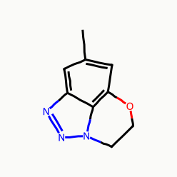 Cc1cc2c3c(c1)nnn3CCO2